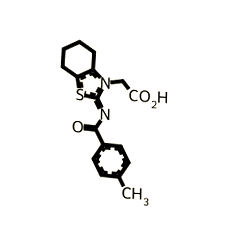 Cc1ccc(C(=O)N=c2sc3c(n2CC(=O)O)CCCC3)cc1